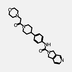 O=C(CN1CCOCC1)N1CCC(c2ccc(NC(=O)N3Cc4ccncc4C3)cc2)CC1